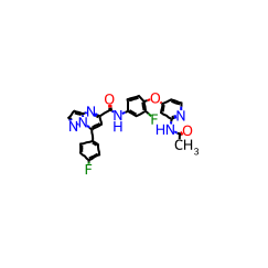 CC(=O)Nc1cc(Oc2ccc(NC(=O)c3cc(-c4ccc(F)cc4)n4nccc4n3)cc2F)ccn1